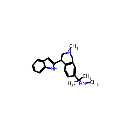 CNC(C)(C)c1ccc2c(c1)CN(C)CC2c1cc2ccccc2[nH]1